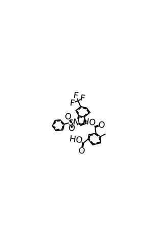 Cc1ccc(C(=O)O)cc1C(=O)O.O=S(=O)(c1ccccc1)n1ccc2ccc(C(F)(F)F)cc21